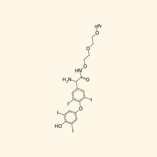 CCCOCCOCCONC(=O)C(N)c1cc(I)c(Oc2cc(I)c(O)c(I)c2)c(I)c1